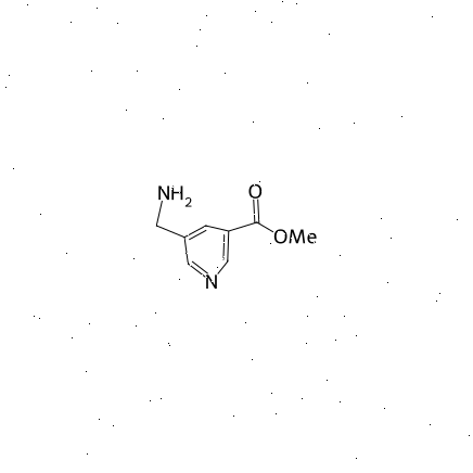 COC(=O)c1cncc(CN)c1